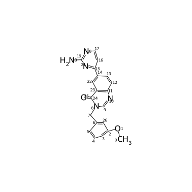 COc1cccc(Cn2cnc3ccc(-c4ccnc(N)n4)cc3c2=O)c1